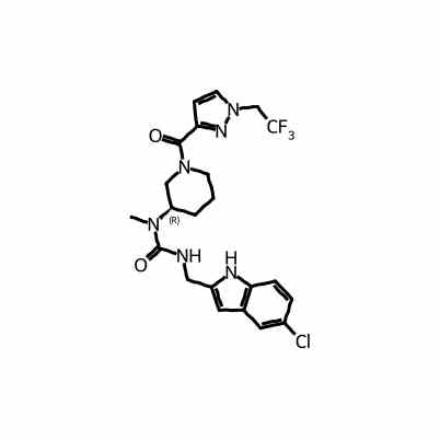 CN(C(=O)NCc1cc2cc(Cl)ccc2[nH]1)[C@@H]1CCCN(C(=O)c2ccn(CC(F)(F)F)n2)C1